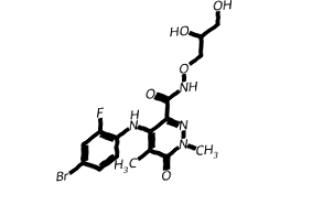 Cc1c(Nc2ccc(Br)cc2F)c(C(=O)NOCC(O)CO)nn(C)c1=O